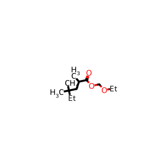 CCOCOC(=O)C(C)CC(C)(C)CC